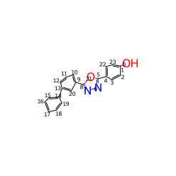 Oc1ccc(-c2nnc(-c3cccc(-c4ccccc4)c3)o2)cc1